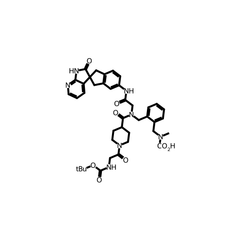 CN(Cc1ccccc1CN(CC(=O)Nc1ccc2c(c1)CC1(C2)C(=O)Nc2ncccc21)C(=O)C1CCN(C(=O)CNC(=O)OC(C)(C)C)CC1)C(=O)O